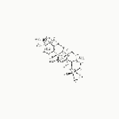 CC(=O)[C@]1(O)CC[C@@]2(C)C(CC[C@]3(C)[C@@H]2C(=O)C=C2[C@@H]4C[C@@](C)(C(=O)O)CC[C@]4(C)CC[C@]23C)C1(C)C